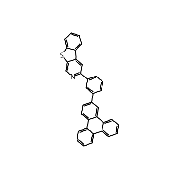 c1cc(-c2ccc3c4ccccc4c4ccccc4c3c2)cc(-c2cc3c(cn2)sc2ccccc23)c1